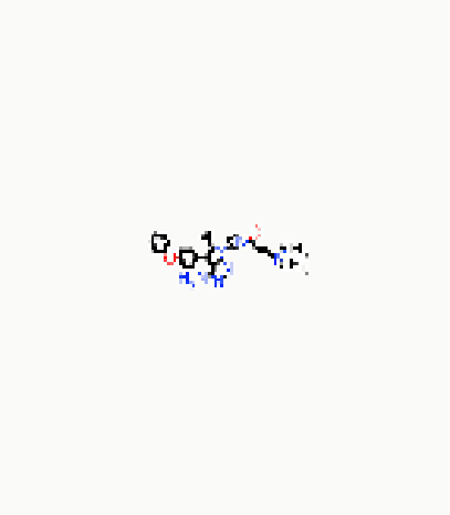 CN(C)CC=CC(=O)N1CCC(n2c(C3CC3)c(-c3ccc(Oc4ccccc4)cc3)c3c(N)ncnc32)C1